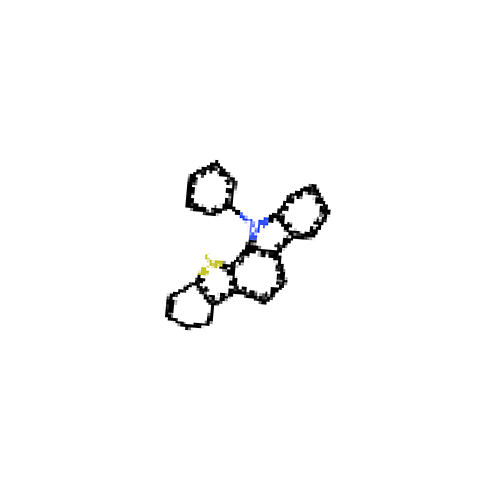 C1=Cc2sc3c(ccc4c5ccccc5n(-c5ccccc5)c43)c2CC1